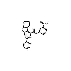 O=[N+]([O-])c1cccc(CNc2nc(-c3ccncc3)nc3sc4c(c23)CCCC4)c1